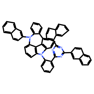 c1ccc(-n2c3cccc4c5ccccc5n(-c5ccc6ccccc6c5)c5cccc2c5c43)c(-c2nc(-c3ccc4ccccc4c3)nc(-c3cccc4ccccc34)n2)c1